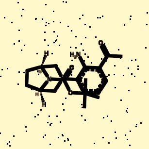 CC(=O)c1cccc(N2C[C@H]3CC[C@@H](C2)N3C(=O)OC(C)(C)C)c1N